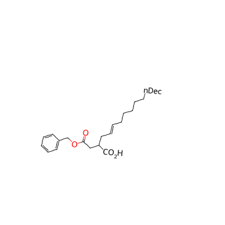 CCCCCCCCCCCCCCC/C=C/CC(CC(=O)OCc1ccccc1)C(=O)O